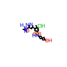 Cc1noc(-c2cc(-c3cc(S(=O)(=O)NC4CC5(CC(O)C5)C4)ccc3C)cnc2N)n1.Cl